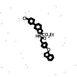 CCOC(=O)C1(NC(=O)Cc2ccc(OC3CCc4ccccc43)cc2)Cc2ccc(-c3ccc(Cl)cc3)cc2C1